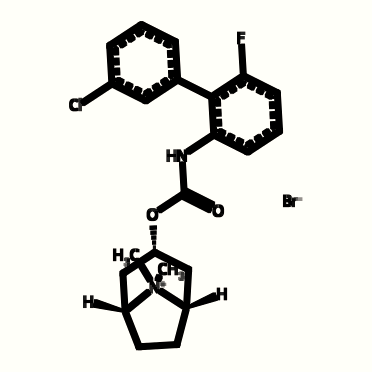 C[N+]1(C)[C@@H]2CC[C@H]1C[C@@H](OC(=O)Nc1cccc(F)c1-c1cccc(Cl)c1)C2.[Br-]